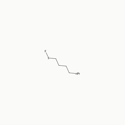 CCCCCCCSF